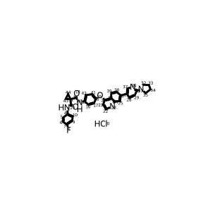 Cl.O=C(Nc1ccc(F)cc1)C1(C(=O)Nc2ccc(Oc3ccnc4cc(-c5ccc(N6CCCC6)nc5)ccc34)cc2)CC1